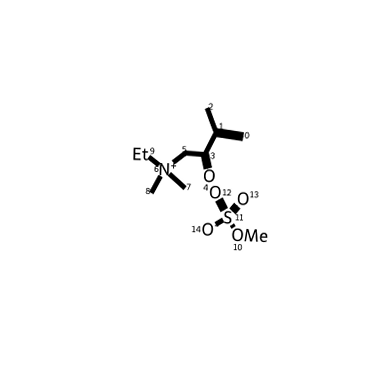 C=C(C)C(=O)C[N+](C)(C)CC.COS(=O)(=O)[O-]